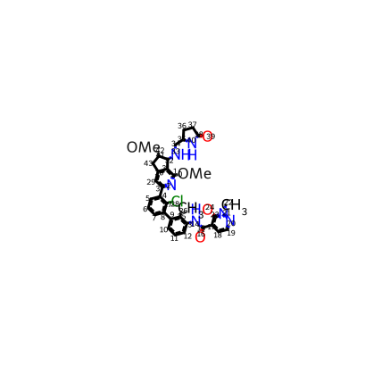 COc1nc(-c2cccc(-c3cccc(NC(=O)c4ccnn(C)c4=O)c3C)c2Cl)cc2c1C(NCC1CCC(=O)N1)C(OC)C2